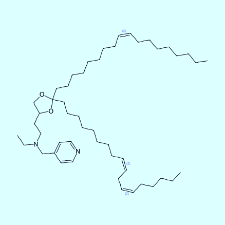 CCCCC/C=C\C/C=C\CCCCCCCCC1(CCCCCCCC/C=C\CCCCCCCC)OCC(CCN(CC)Cc2ccncc2)O1